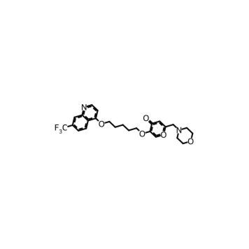 O=c1cc(CN2CCOCC2)occ1OCCCCCOc1ccnc2cc(C(F)(F)F)ccc12